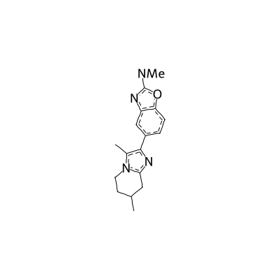 CNc1nc2cc(-c3nc4n(c3C)CCC(C)C4)ccc2o1